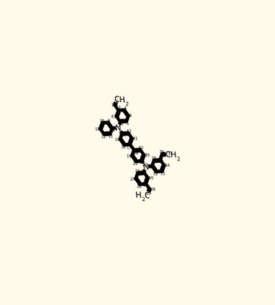 C=Cc1cccc(N(c2ccccc2)c2ccc(-c3ccc(N(c4cccc(C=C)c4)c4cccc(C=C)c4)cc3)cc2)c1